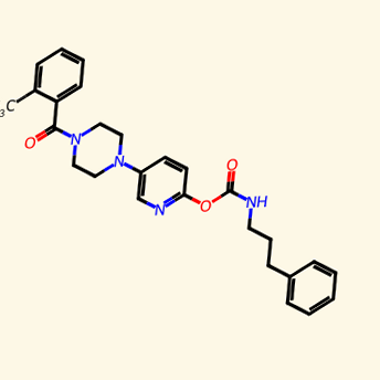 O=C(NCCCc1ccccc1)Oc1ccc(N2CCN(C(=O)c3ccccc3C(F)(F)F)CC2)cn1